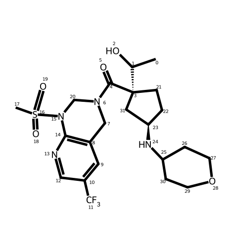 CC(O)[C@]1(C(=O)N2Cc3cc(C(F)(F)F)cnc3N(S(C)(=O)=O)C2)CC[C@@H](NC2CCOCC2)C1